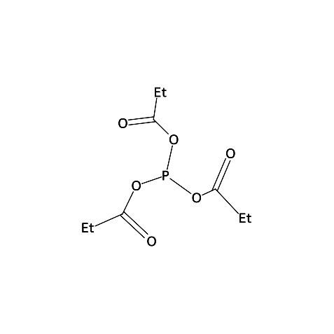 CCC(=O)OP(OC(=O)CC)OC(=O)CC